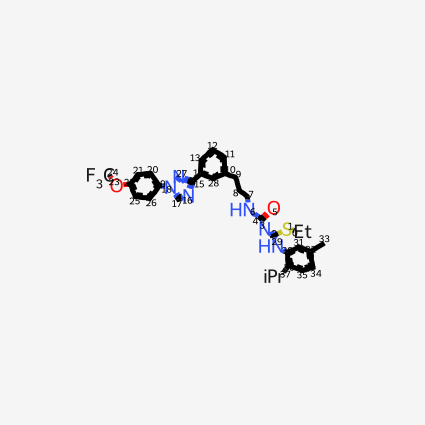 CCS/C(=N\C(=O)NCCCc1cccc(-c2ncn(-c3ccc(OC(F)(F)F)cc3)n2)c1)Nc1cc(C)ccc1C(C)C